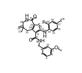 COc1cccc(CNC(=O)c2c(Nc3ccc(I)cc3F)sc3c2CC(C)(C)CNC3=O)c1